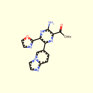 COC(=O)c1nc(-c2ccc3nccn3c2)c(-c2ncco2)nc1N